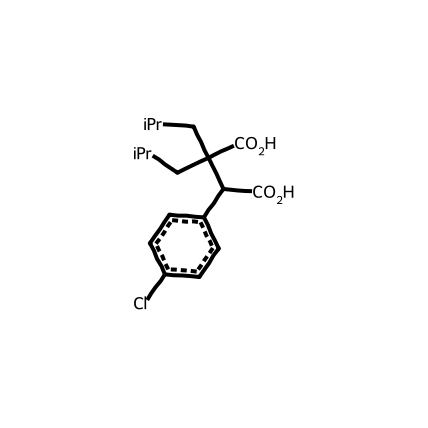 CC(C)CC(CC(C)C)(C(=O)O)C(C(=O)O)c1ccc(Cl)cc1